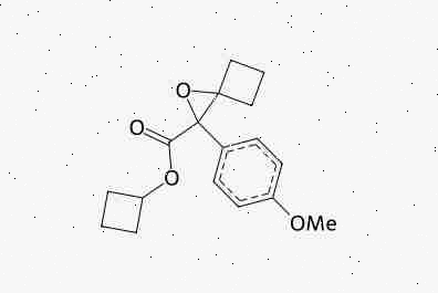 COc1ccc(C2(C(=O)OC3CCC3)OC23CCC3)cc1